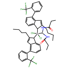 CCCCC1=Cc2c(-c3ccccc3C(F)(F)F)cccc2[CH]1[Zr]([Cl])([Cl])([B](NC(=O)CC)NC(=O)CC)[CH]1C(CCCC)=Cc2c(-c3ccccc3C(F)(F)F)cccc21